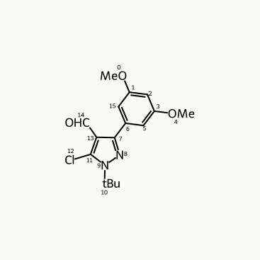 COc1cc(OC)cc(-c2nn(C(C)(C)C)c(Cl)c2C=O)c1